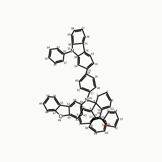 C1=CCC(c2ccccc2-c2ccccc2)(N(c2ccc(-c3ccc4c5ccccc5n(-c5ccccc5)c4c3)cc2)c2ccc3oc4ccccc4c3c2)C(c2ccccc2)=C1